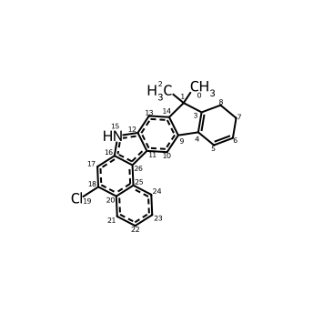 CC1(C)C2=C(C=CCC2)c2cc3c(cc21)[nH]c1cc(Cl)c2ccccc2c13